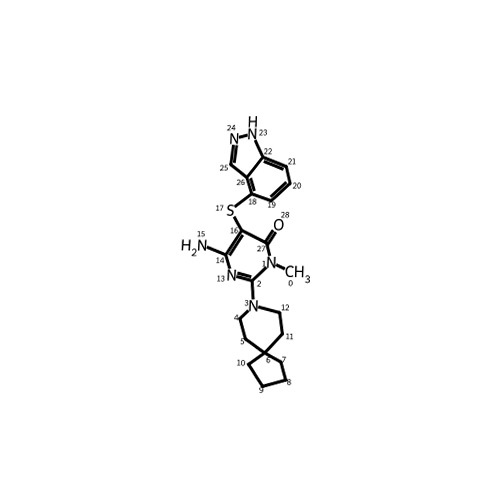 Cn1c(N2CCC3(CCCC3)CC2)nc(N)c(Sc2cccc3[nH]ncc23)c1=O